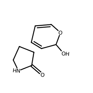 O=C1CCCN1.OC1C=CC=CO1